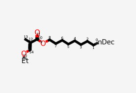 CCCCCCCCCCCCCCCCCCOC(=O)C(C)=COCC